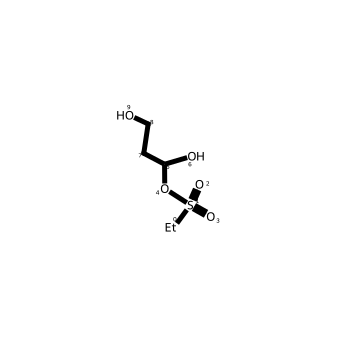 CCS(=O)(=O)OC(O)CCO